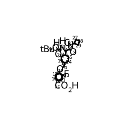 CN(C(=O)[C@@H](NC(=O)OC(C)(C)C)C1CCC(COc2ccc(C(=O)O)cc2F)CC1)C1CCC1